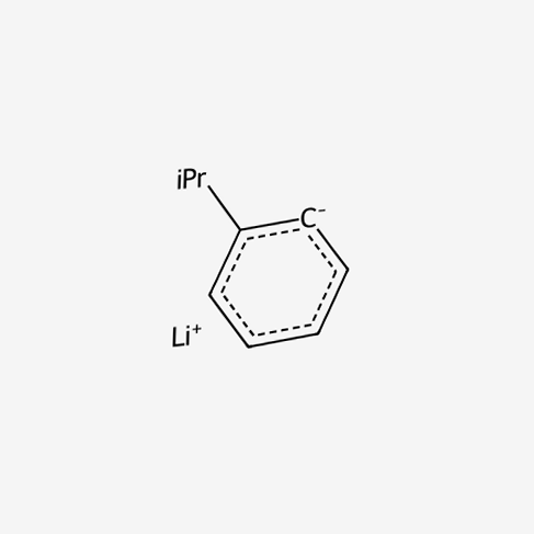 CC(C)c1[c-]cccc1.[Li+]